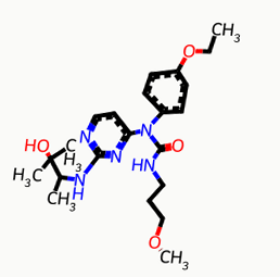 CCOc1ccc(N(C(=O)NCCCOC)c2ccnc(NC(C)C(C)(C)O)n2)cc1